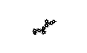 c1ccc2cc(-n3c4ccccc4c4cc(-c5ccc6c(c5)c5ccccc5n6-c5ccc(-c6cccc7ccccc67)cc5)ccc43)ccc2c1